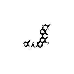 Cc1c(-c2cc3cc(OC(=O)NC4COCC4C)ncc3c(Cl)c2F)cnc2c1NC(=O)CO2